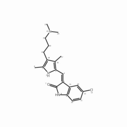 Cc1[nH]c(C=C2C(=O)Nc3ccc(Cl)cc32)c(C)c1CCCN(C)C